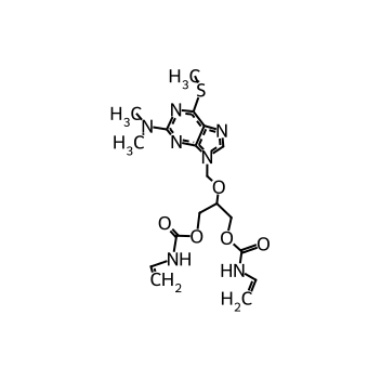 C=CNC(=O)OCC(COC(=O)NC=C)OCn1cnc2c(SC)nc(N(C)C)nc21